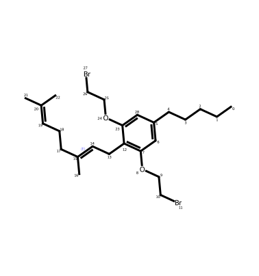 CCCCCc1cc(OCCBr)c(C/C=C(\C)CCC=C(C)C)c(OCCBr)c1